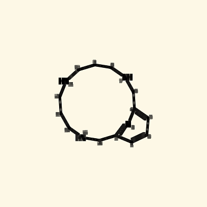 c1cc2nc(c1)CNCCCNCCCNC2